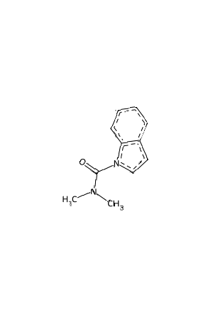 CN(C)C(=O)n1ccc2cc[c]cc21